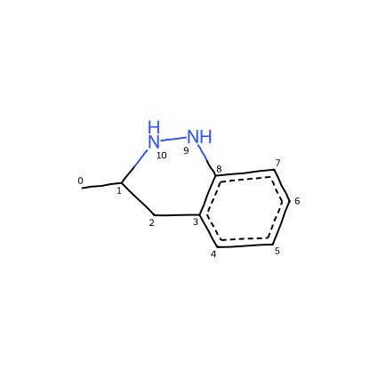 CC1Cc2ccccc2NN1